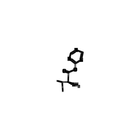 CC(C)[C@H](N)C(=O)Oc1ncncn1